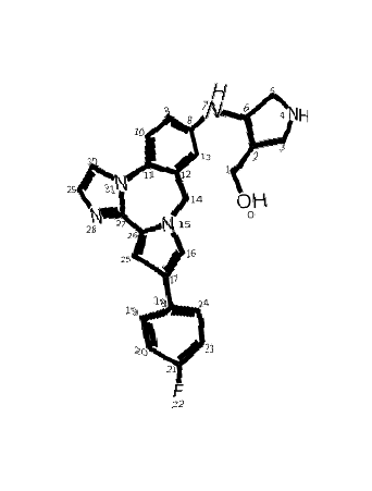 OCC1CNCC1Nc1ccc2c(c1)Cn1cc(-c3ccc(F)cc3)cc1-c1nccn1-2